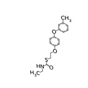 CCNC(=O)SCCOc1ccc(Oc2cccc(C)c2)cc1